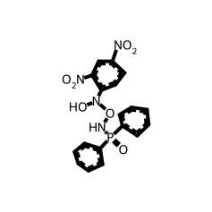 O=[N+]([O-])c1ccc(N(O)ONP(=O)(c2ccccc2)c2ccccc2)c([N+](=O)[O-])c1